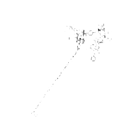 CC[C@H](C)[C@@H]([C@@H](CC(=O)N1CCC[C@H]1[C@H](OC)[C@@H](C)C(=O)N[C@H](C)[C@@H](O)c1ccccc1)OC)N(C)C(=O)[C@@H](NC(=O)[C@H](C(C)C)N(C)C(=O)OCc1ccc(NC(=O)[C@H](CCCNC(N)=O)NC(=O)C(NC(=O)C2(N3C(=O)C=CC3=O)CN(CCCOCCOCCOCCOCCOCCOCCOCCOCCOCCOCCOCCOC)C2)C(C)C)cc1)C(C)C